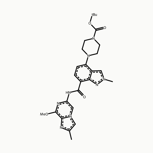 COc1nc(NC(=O)c2ccc(N3CCN(C(=O)OC(C)(C)C)CC3)c3cn(C)nc23)cn2cc(C)nc12